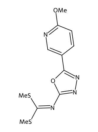 COc1ccc(-c2nnc(N=C(SC)SC)o2)cn1